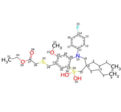 CCCCC1(CCCC)CN(c2ccc(F)cc2)c2cc(OC)c(CSCC(=O)OCC)cc2S(O)(O)C1